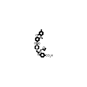 Cc1ccc(N(C)c2cccc(S(=O)(=O)N3CCN(Cc4nc5ccc(C(=O)O)cc5n4C[C@@H]4CCO4)CC3)c2)c(Cl)c1